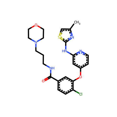 Cc1csc(Nc2cc(Oc3cc(C(=O)NCCCN4CCOCC4)ccc3Cl)ccn2)n1